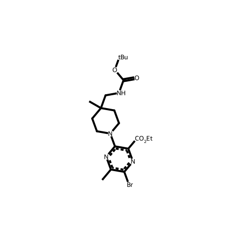 CCOC(=O)c1nc(Br)c(C)nc1N1CCC(C)(CNC(=O)OC(C)(C)C)CC1